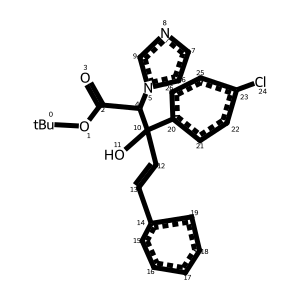 CC(C)(C)OC(=O)C(n1ccnc1)C(O)(C=Cc1ccccc1)c1ccc(Cl)cc1